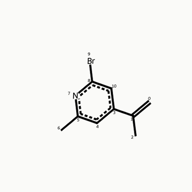 C=C(C)c1cc(C)nc(Br)c1